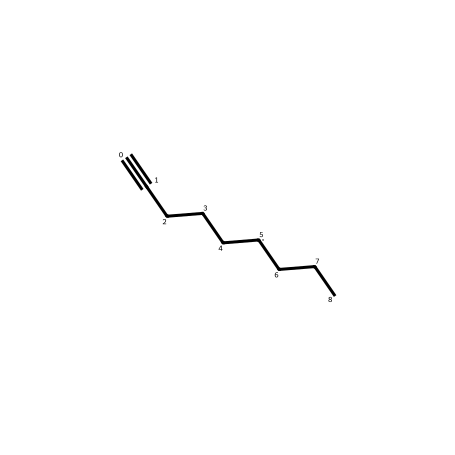 C#CCCC[CH]CCC